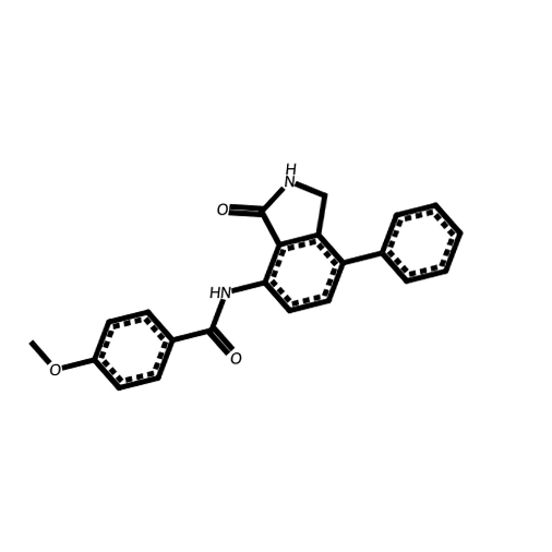 COc1ccc(C(=O)Nc2ccc(-c3ccccc3)c3c2C(=O)NC3)cc1